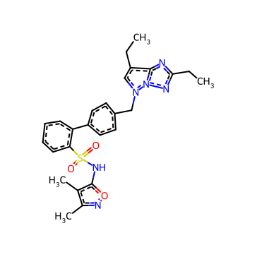 CCc1nc2c(CC)cn(Cc3ccc(-c4ccccc4S(=O)(=O)Nc4onc(C)c4C)cc3)n2n1